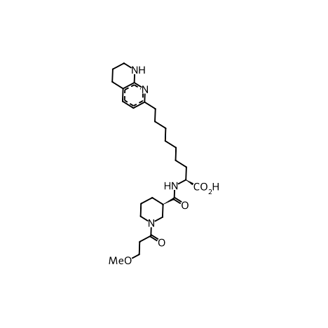 COCCC(=O)N1CCC[C@@H](C(=O)N[C@@H](CCCCCCCc2ccc3c(n2)NCCC3)C(=O)O)C1